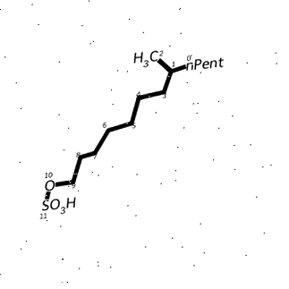 CCCCCC(C)CCCCCCCOS(=O)(=O)O